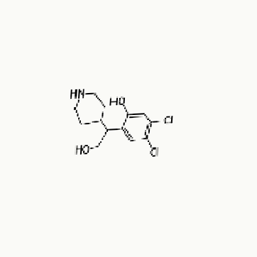 OCC(c1cc(Cl)c(Cl)cc1O)C1CCNCC1